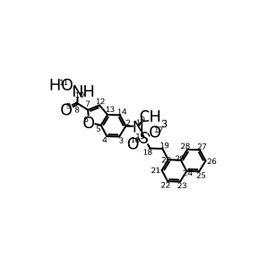 CN(c1ccc2oc(C(=O)NO)cc2c1)S(=O)(=O)CCc1cccc2ccccc12